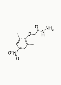 Cc1cc([N+](=O)[O-])cc(C)c1OCC(=O)NN